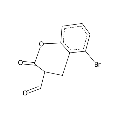 O=CC1Cc2c(Br)cccc2OC1=O